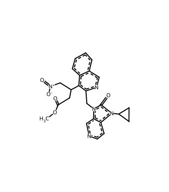 COC(=O)CC(C[N+](=O)[O-])c1c(Cn2c(=O)n(C3CC3)c3ccncc32)ncc2ccccc12